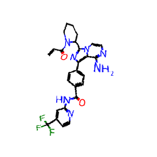 C=CC(=O)N1CCCCC1c1nc(-c2ccc(C(=O)Nc3cc(C(F)(F)F)ccn3)cc2)c2c(N)nccn12